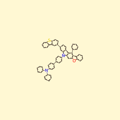 c1ccc(-c2c3c(cc4c2c2ccc(-c5ccc6sc7ccccc7c6c5)cc2n4-c2ccc(-c4ccc(N(c5ccccc5)c5ccccc5)cc4)cc2)oc2ccccc23)cc1